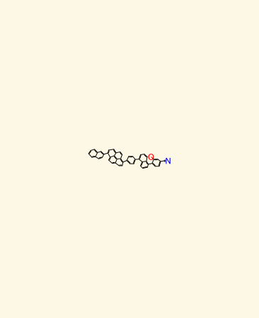 N#Cc1ccc2c(c1)Oc1ccc(-c3ccc(-c4ccc5ccc6c(-c7ccc8ccccc8c7)ccc7ccc4c5c76)cc3)c3cccc-2c13